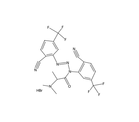 Br.CC(C(=O)N(/N=N/c1cc(C(F)(F)F)ccc1C#N)c1cc(C(F)(F)F)ccc1C#N)N(C)C